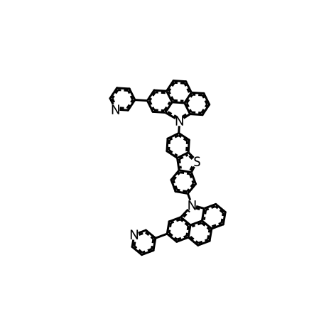 c1cncc(-c2cc3ccc4cccc5c4c3c(c2)n5-c2ccc3c(c2)sc2cc(-n4c5cccc6ccc7cc(-c8cccnc8)cc4c7c65)ccc23)c1